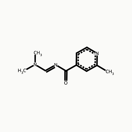 Cc1cc(C(=O)/N=C/N(C)C)ccn1